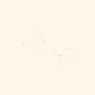 CCC(C)C(C)N(C)OCC1(C)COC1